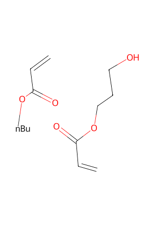 C=CC(=O)OCCCC.C=CC(=O)OCCCO